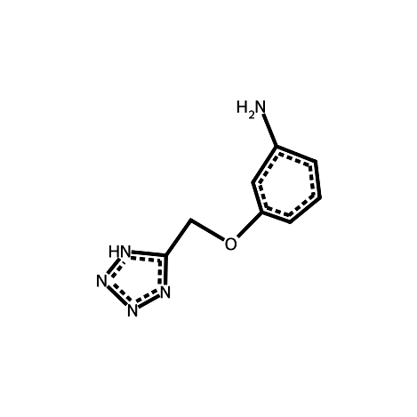 Nc1cccc(OCc2nnn[nH]2)c1